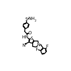 N#Cc1c(NC(=O)Cc2ccc(SN)cc2)sc2c1CCN(Cc1c(F)cccc1F)C2